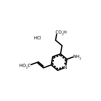 Cl.Nc1ncc(C=CC(=O)O)cc1CCC(=O)O